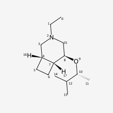 CCN1C[C@H]2CC[C@H]2[C@H](O[C@H](C)C(C)C)C1